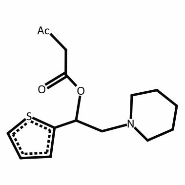 CC(=O)CC(=O)OC(CN1CCCCC1)c1cccs1